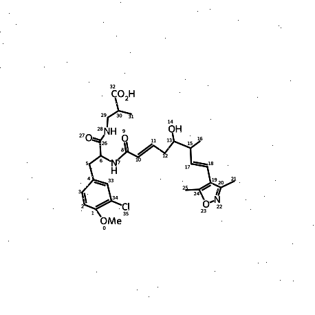 COc1ccc(CC(NC(=O)/C=C/CC(O)C(C)/C=C/c2c(C)noc2C)C(=O)NCC(C)C(=O)O)cc1Cl